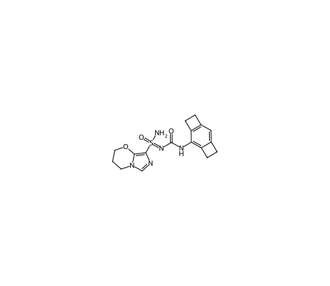 NS(=O)(=NC(=O)Nc1c2c(cc3c1CC3)CC2)c1ncn2c1OCCC2